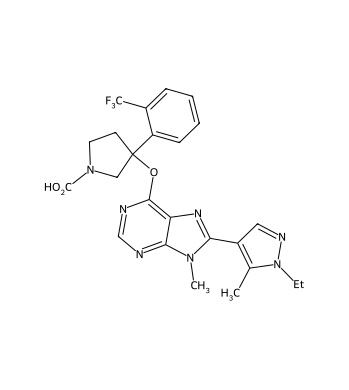 CCn1ncc(-c2nc3c(OC4(c5ccccc5C(F)(F)F)CCN(C(=O)O)C4)ncnc3n2C)c1C